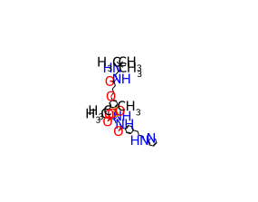 COC(=O)C(CNC(=O)c1ccc(CCCNc2ccccn2)cc1)NS(=O)(=O)c1c(C)cc(OCCCC(=O)NCCNC(C)(C)C)cc1C